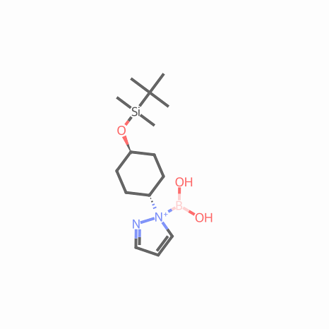 CC(C)(C)[Si](C)(C)O[C@H]1CC[C@H]([N+]2(B(O)O)C=CC=N2)CC1